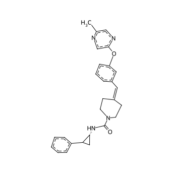 Cc1cnc(Oc2cccc(C=C3CCN(C(=O)N[C@@H]4CC4c4ccccc4)CC3)c2)cn1